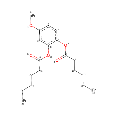 CCCOc1ccc(OC(=O)CCCCC(C)C)c(OC(=O)CCCCC(C)C)c1